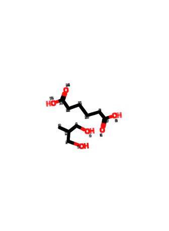 CC(CO)CO.O=C(O)CCCCC(=O)O